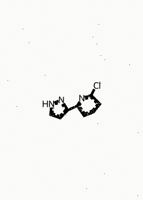 Clc1cccc(-c2cc[nH]n2)n1